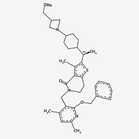 COCC1CN(C2CCC([C@@H](C)c3sc4c(c3C)C(=O)N(Cc3c(C)cc(C)nc3OCc3ccccc3)CC4)CC2)C1